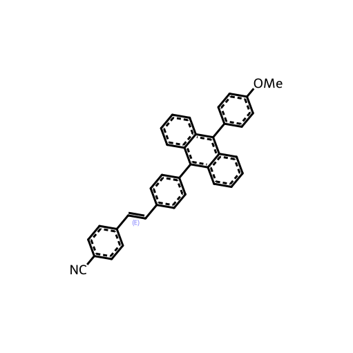 COc1ccc(-c2c3ccccc3c(-c3ccc(/C=C/c4ccc(C#N)cc4)cc3)c3ccccc23)cc1